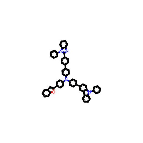 c1ccc(-n2c(-c3ccc(-c4ccc(N(c5ccc(-c6ccc7c(c6)c6ccccc6n7-c6ccccc6)cc5)c5ccc(-c6cc7ccccc7o6)cc5)cc4)cc3)nc3ccccc32)cc1